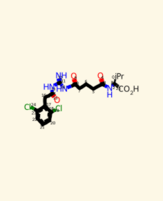 CC(C)[C@H](NC(=O)CCCC(=O)NC(=N)NC(=O)Cc1c(Cl)cccc1Cl)C(=O)O